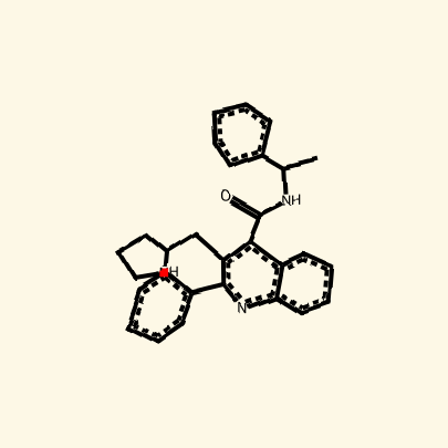 CC(NC(=O)c1c(CC2CCCN2)c(-c2ccccc2)nc2ccccc12)c1ccccc1